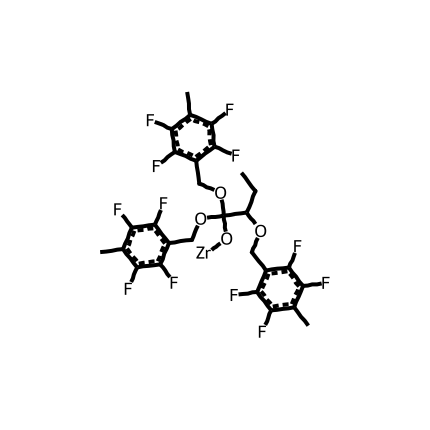 CCC(OCc1c(F)c(F)c(C)c(F)c1F)C([O][Zr])(OCc1c(F)c(F)c(C)c(F)c1F)OCc1c(F)c(F)c(C)c(F)c1F